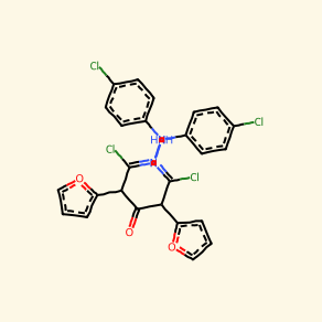 O=C(C(C(Cl)=NNc1ccc(Cl)cc1)c1ccco1)C(C(Cl)=NNc1ccc(Cl)cc1)c1ccco1